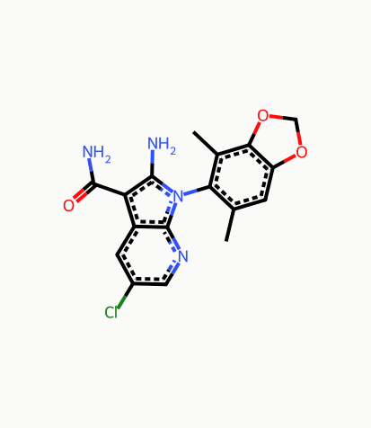 Cc1cc2c(c(C)c1-n1c(N)c(C(N)=O)c3cc(Cl)cnc31)OCO2